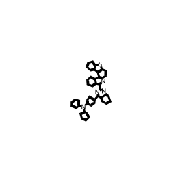 c1ccc(N(c2ccccc2)c2ccc(-c3nc(-c4nc5ccc6sc7ccccc7c6c5c5ccccc45)nc4ccccc34)cc2)cc1